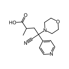 CC(CC(C#N)(c1ccncc1)N1CCOCC1)C(=O)O